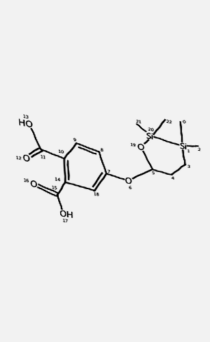 C[Si]1(C)CCC(Oc2ccc(C(=O)O)c(C(=O)O)c2)O[Si]1(C)C